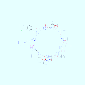 CC[C@H](C)[C@@H]1NC(=O)[C@H](CC(C)C)N(C)C(=O)C[C@@H](C(=O)N2CCCCC2)N(C)C(=O)[C@H](C2CCCCC2)N(C)C(=O)C2(CCCC2)NC(=O)CN(CCCCN)C(=O)[C@H](CCc2ccc(C(F)(F)F)c(Cl)c2)NC(=O)CN(C)C(=O)[C@H](CC2CCCCC2)N(C)C(=O)CN(C)C(=O)CN(C)C1=O